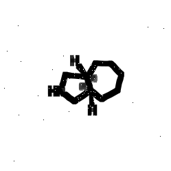 C1CC[C@H]2CNC[C@@H]2CC1